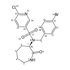 O=C1NCCCC[C@H]1N(Cc1ccc(Br)cc1)S(=O)(=O)c1ccc(Cl)nc1